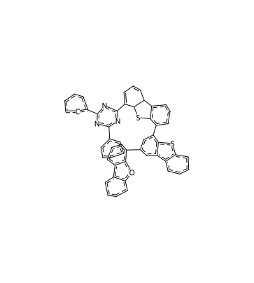 C1=CC2c3cccc(-c4cc(-c5cccc6c5oc5ccccc56)cc5c4sc4ccccc45)c3SC2C(c2nc(-c3ccccc3)nc(-c3ccccc3)n2)=C1